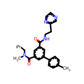 Cc1ccc(-c2cc(C(=O)NCCc3cnccn3)cc(C(=O)N(C)CC(C)C)c2)cc1